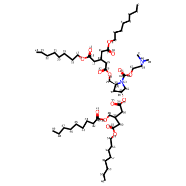 CCCCCCCCOC(=O)CC(CC(=O)OCCCCCCCC)CC(=O)OC[C@@H]1C[C@@H](OC(=O)CC(COC(=O)CCCCCCCC)CC(=O)OCCCCCCCC)CN1C(=O)OCCN(C)C